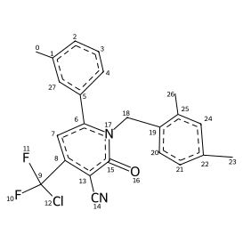 Cc1cccc(-c2cc(C(F)(F)Cl)c(C#N)c(=O)n2Cc2ccc(C)cc2C)c1